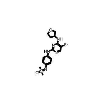 CS(C)(=O)=Nc1ccc(Nc2ncc(Br)c(NC3CCOC3)n2)cc1